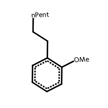 [CH2]Oc1ccccc1CCCCCCC